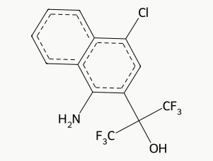 Nc1c(C(O)(C(F)(F)F)C(F)(F)F)cc(Cl)c2ccccc12